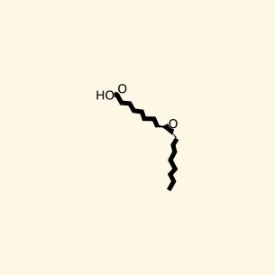 CCCCCCCC[C@H]1O[C@@H]1CCCCCCCC(=O)O